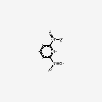 O=[N+]([O-])c1cccc([N+](=O)[O-])n1